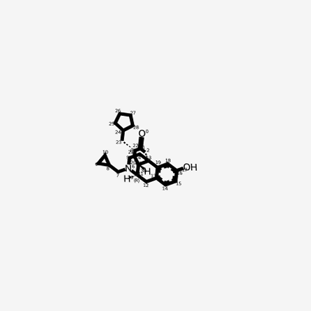 O=C1C[C@]23CCN(CC4CC4)[C@H](Cc4ccc(O)cc42)[C@@H]3C[C@@H]1CC1CCCC1